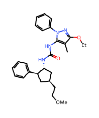 CCOc1nn(-c2ccccc2)c(NC(=O)N[C@@H]2C[C@@H](CCOC)C[C@H]2c2ccccc2)c1C